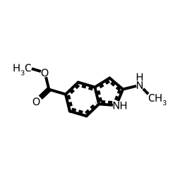 CNc1cc2cc(C(=O)OC)ccc2[nH]1